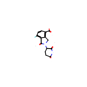 O=C1CCC(N2Cc3c(C(=O)O)ccc(F)c3C2=O)C(=O)N1